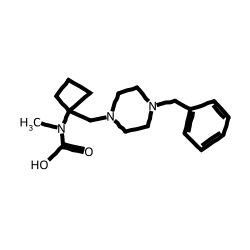 CN(C(=O)O)C1(CN2CCN(Cc3ccccc3)CC2)CCC1